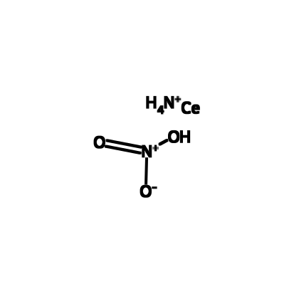 O=[N+]([O-])O.[Ce].[NH4+]